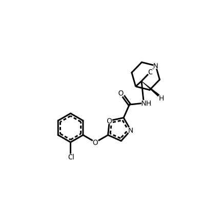 O=C(N[C@H]1CN2CCC1CC2)c1ncc(Oc2ccccc2Cl)o1